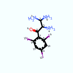 NC(N)C(N)C(=O)c1c(I)cc(I)cc1I